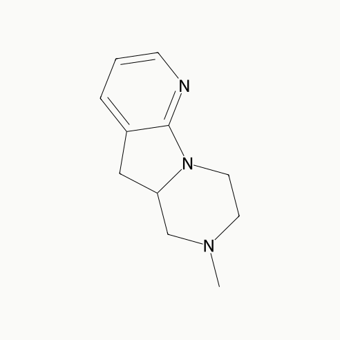 CN1CCN2c3ncccc3CC2C1